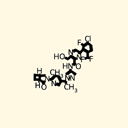 Cc1cc(C(C)n2cc(NC(=O)c3nc(-c4c(C(F)F)ccc(Cl)c4F)cnc3CO)cn2)cnc1N1C[C@H]2CC[C@H]2C1=O